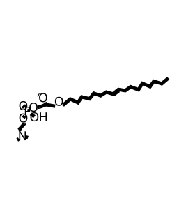 CCCCCCCCC=CCCCCCCCCOCC(COP(=O)(O)OCCN(C)C)OC